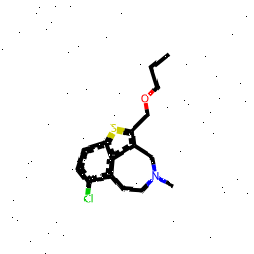 CCCOCc1sc2ccc(Cl)c3c2c1CN(C)CC3